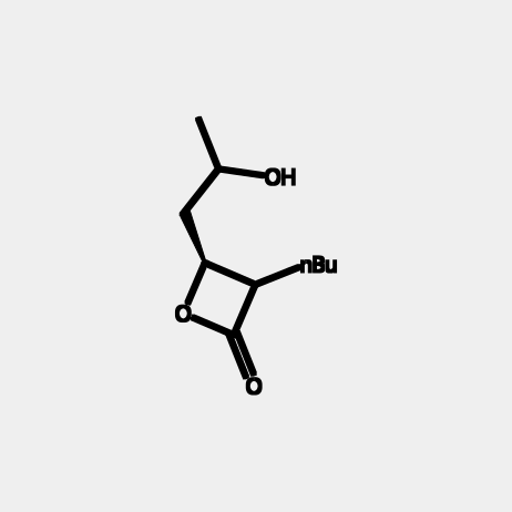 CCCCC1C(=O)O[C@H]1CC(C)O